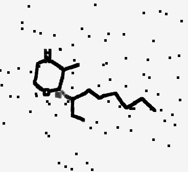 CCCCCCC(CC)[C@@H]1OCCNC1C